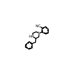 N#Cc1ccccc1N1CCNC(Cc2ccccc2)C1